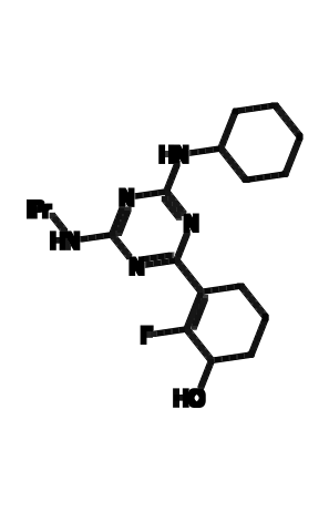 CC(C)Nc1nc(NC2CCCCC2)nc(C2=C(F)C(O)CCC2)n1